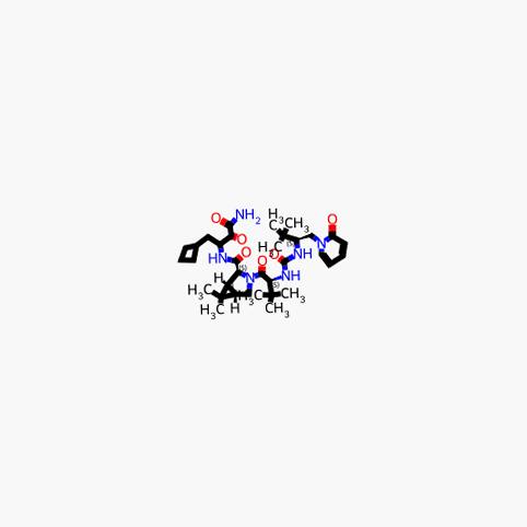 CC(C)(C)[C@H](NC(=O)N[C@H](Cn1ccccc1=O)C(C)(C)C)C(=O)N1C[C@H]2[C@@H]([C@H]1C(=O)NC(CC1CCC1)C(=O)C(N)=O)C2(C)C